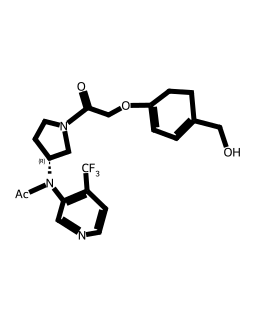 CC(=O)N(c1cnccc1C(F)(F)F)[C@@H]1CCN(C(=O)COC2=CC=C(CO)CC2)C1